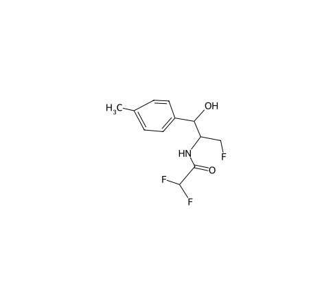 Cc1ccc(C(O)C(CF)NC(=O)C(F)F)cc1